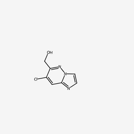 OCc1nn2ccnc2cc1Cl